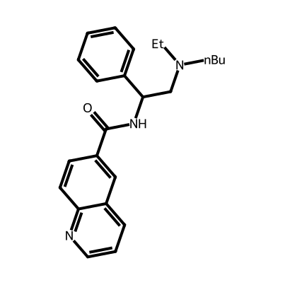 CCCCN(CC)CC(NC(=O)c1ccc2ncccc2c1)c1ccccc1